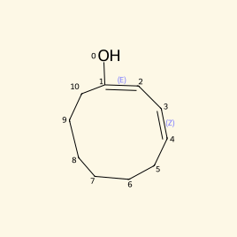 O/C1=C/C=C\CCCCCC1